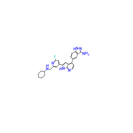 Nc1n[nH]c2ccc(-c3ccnc4[nH]c(-c5cc(F)nc(CNC6CCCCC6)c5)cc34)cc12